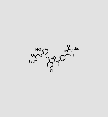 CC(C)(C)OC(=O)COc1c(O)cccc1CNc1ccc(Cl)cc1C(=O)Nc1ccc(C(=N)NC(=O)OC(C)(C)C)cc1